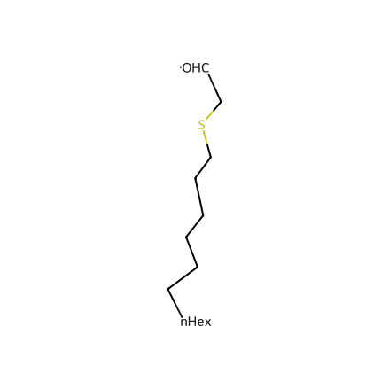 CCCCCCCCCCCCSC[C]=O